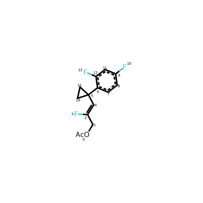 CC(=O)OC/C(F)=C/C1(c2ccc(F)cc2F)CC1